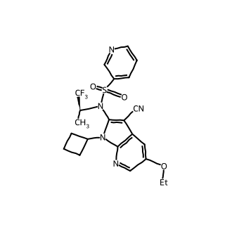 CCOc1cnc2c(c1)c(C#N)c(N([C@@H](C)C(F)(F)F)S(=O)(=O)c1cccnc1)n2C1CCC1